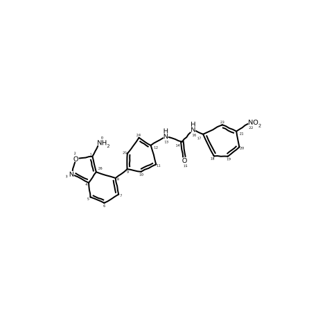 Nc1onc2cccc(-c3ccc(NC(=O)Nc4cccc([N+](=O)[O-])c4)cc3)c12